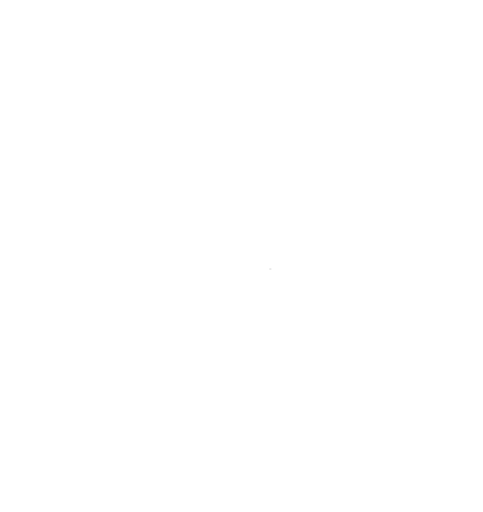 [AlH3].[CH]=CCC(CC)CC